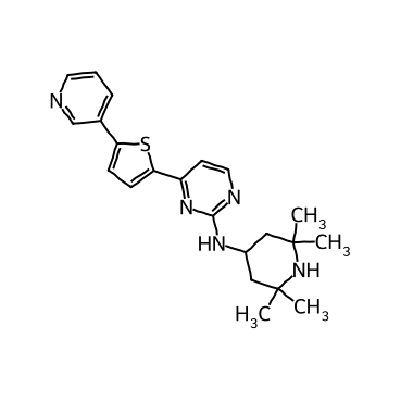 CC1(C)CC(Nc2nccc(-c3ccc(-c4cccnc4)s3)n2)CC(C)(C)N1